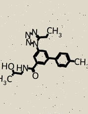 CCc1nnnn1-c1cc(C(=O)NCC(C)O)cc(-c2ccc(C)cc2)c1